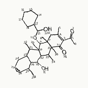 CC(=O)C1=C(C)CC2(C)C(OC(O)C3CCCCC3)C3(C)C(C)C4CC=CC(C)C4C(O)C3C(C)C2(C)C1=O